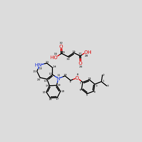 CC(C)c1cccc(OCCn2c3c(c4ccccc42)CCNCC3)c1.O=C(O)C=CC(=O)O